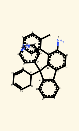 Cc1ccccc1-c1c(N)ccc2c1C(c1ccncc1)(C1C=CC=CC1)c1ccccc1-2